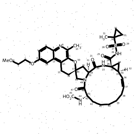 COCCOc1ccc2nc(C)c3c(c2c1)CC[C@]1(C[C@H]2C(=O)N[C@]4(C(=O)NS(=O)(=O)C5(C)CC5)C[C@H]4C=CCCCCC[C@H](NC(=O)O)C(=O)N2C1)O3